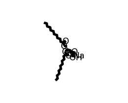 CCCCCCCCCCCC(=O)OC[C@H](CO[P](=O)(O)[Na])OC(=O)CCCCCCCCCCC